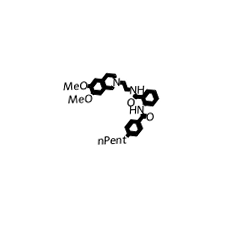 CCCCCc1ccc(C(=O)Nc2ccccc2C(=O)NCCN2CCc3cc(OC)c(OC)cc3C2)cc1